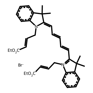 CCOC(=O)C=CCN1C(=CC=CC=CC2=[N+](CC=CC(=O)OCC)c3ccccc3C2(C)C)C(C)(C)c2ccccc21.[Br-]